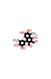 Cc1cc(-c2c(C=O)c(C=O)c(O)c3c(C)c(O)c(O)cc23)cc(O)c1O